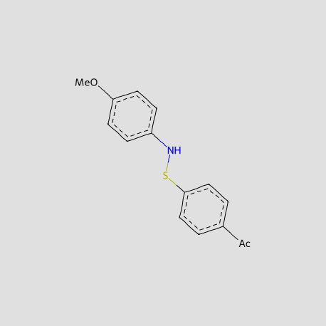 COc1ccc(NSc2ccc(C(C)=O)cc2)cc1